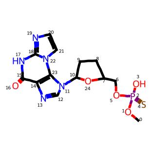 COP(O)(=S)OCC1CCC(n2cnc3c(=O)[nH]c4nccn4c32)O1